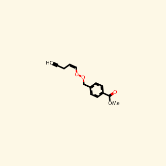 C#CC/C=C\OOCc1ccc(C(=O)OC)cc1